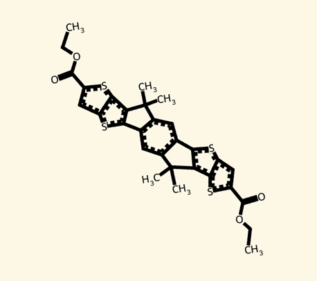 CCOC(=O)c1cc2sc3c(c2s1)C(C)(C)c1cc2c(cc1-3)C(C)(C)c1c-2sc2cc(C(=O)OCC)sc12